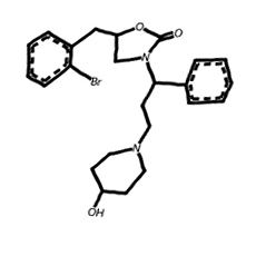 O=C1OC(Cc2ccccc2Br)CN1C(CCN1CCC(O)CC1)c1ccccc1